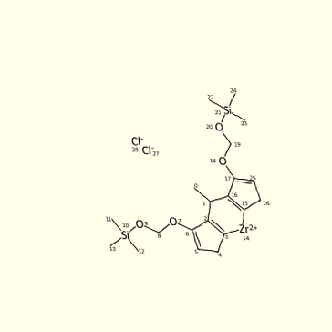 CC1C2=[C](CC=C2OCO[Si](C)(C)C)[Zr+2][C]2=C1C(OCO[Si](C)(C)C)=CC2.[Cl-].[Cl-]